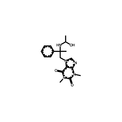 CC(O)NC(C)(Cn1cnc2c1c(=O)n(C)c(=O)n2C)c1ccccc1